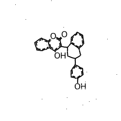 O=c1oc2ccccc2c(O)c1C1CC(c2ccc(O)cc2)Cc2ccccc21